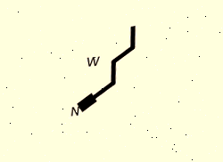 CCCCC#N.[W]